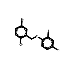 N#Cc1ccc(Br)cc1COc1ccc(Cl)cc1I